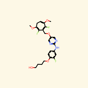 COC1=CCC(OC)=C(F)C(COc2cnc(Nc3ccc(OCCCCO)c(F)c3)nc2)=C1F